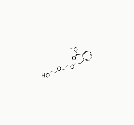 COC(=O)c1ccccc1CCOCCOCCO